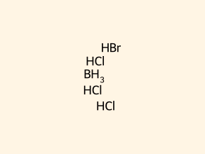 B.Br.Cl.Cl.Cl